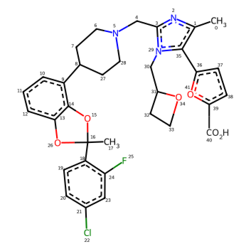 Cc1nc(CN2CCC(c3cccc4c3OC(C)(c3ccc(Cl)cc3F)O4)CC2)n(CC2CCO2)c1-c1ccc(C(=O)O)o1